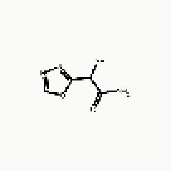 NC(=O)C(S)c1nnco1